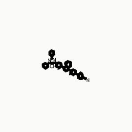 Cc1c(-c2ccccc2)nc(-c2ccccc2)nc1-c1ccc(-c2ccc(-c3ccc(-c4ccc(C#N)cc4)cc3)c3ccccc23)cc1